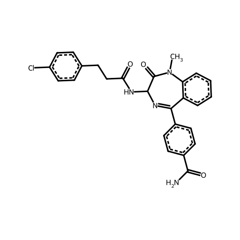 CN1C(=O)C(NC(=O)CCc2ccc(Cl)cc2)N=C(c2ccc(C(N)=O)cc2)c2ccccc21